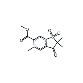 COC(=O)c1cc2c(cc1C)C(=O)C(C)(C)S2(=O)=O